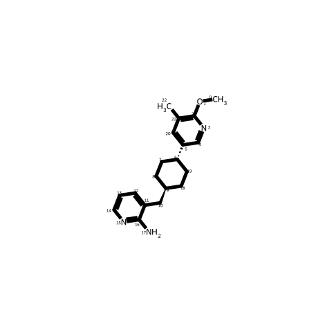 COc1ncc([C@H]2CC[C@H](Cc3cccnc3N)CC2)cc1C